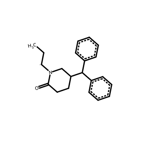 CC[CH]N1CC(C(c2ccccc2)c2ccccc2)CCC1=O